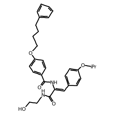 CC(C)Oc1ccc(/C=C(\NC(=O)c2ccc(OCCCCc3ccccc3)cc2)C(=O)NCCO)cc1